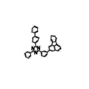 c1ccc(-c2ccc(-c3nc(-c4ccccc4)nc(-c4cccc(-c5cc6c7c(cccc7c5)-c5ccccc5-6)c4)n3)cc2)cc1